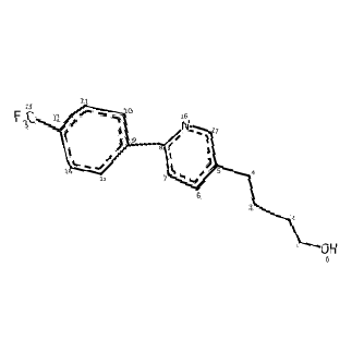 OCCCCc1ccc(-c2ccc(C(F)(F)F)cc2)nc1